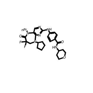 CCCN1C(=O)C(F)(F)CN(C2CCCC2)c2nc(Nc3ccc(C(=O)NC4CCOCC4)cc3)ncc21